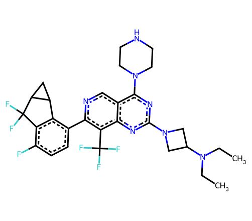 CCN(CC)C1CN(c2nc(N3CCNCC3)c3cnc(-c4ccc(F)c5c4C4CC4C5(F)F)c(C(F)(F)F)c3n2)C1